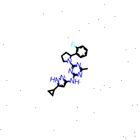 Cc1nc(Nc2cc(C3CC3)[nH]n2)nc(N2CCCC2c2ccccc2F)n1